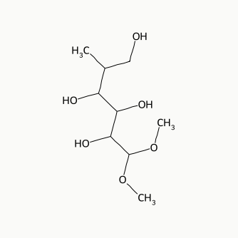 COC(OC)C(O)C(O)C(O)C(C)CO